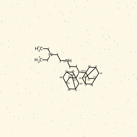 CCN(CC)CCNCCP(C12CC3CC(CC(C3)C1)C2)C12CC3CC(CC(C3)C1)C2